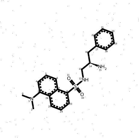 CN(C)c1cccc2c(S(=O)(=O)NC[C@H](N)Cc3ccccc3)cccc12